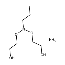 CCCN(OCCO)OCCO.N